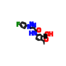 CC1OB(O)c2cc(NC(=O)c3cn(-c4ccc(F)cc4)nn3)ccc21